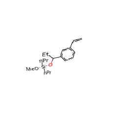 C=Cc1cccc(C(CC)O[Si](CCC)(CCC)OC)c1